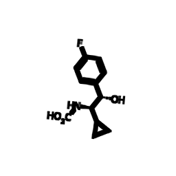 O=C(O)N[C@H](C1CC1)[C@@H](O)c1ccc(F)cc1